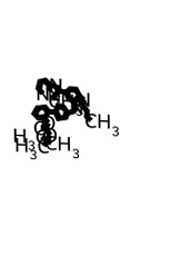 CCCc1nc2ccc(-c3nc4cccnc4n3C)cc2n1Cc1ccc(-c2ccccc2OC(=O)OC(C)(C)C)cc1